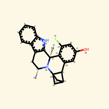 C[C@@H]1Cc2c([nH]c3ccccc23)[C@H]2c3c(F)cc(O)cc3C3C4CC3(C4)N21